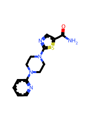 NC(=O)c1cnc(N2CCN(c3ccccn3)CC2)s1